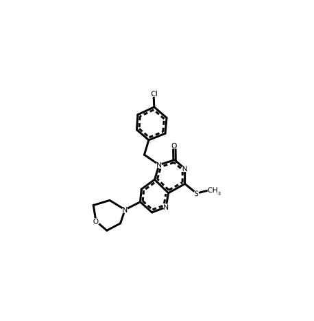 CSc1nc(=O)n(Cc2ccc(Cl)cc2)c2cc(N3CCOCC3)cnc12